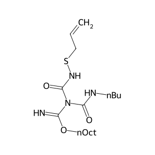 C=CCSNC(=O)N(C(=N)OCCCCCCCC)C(=O)NCCCC